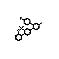 CC1(C)Oc2ccccc2-c2ccc(-c3ccc(Cl)cc3-c3ccc(F)cc3)cc21